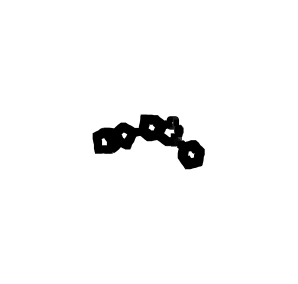 c1ccc(N2COc3ccc(C4CC5C6CCC(C6)C5C4)cc3C2)cc1